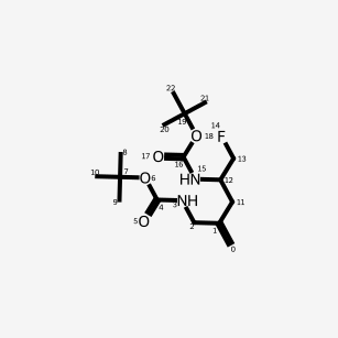 C=C(CNC(=O)OC(C)(C)C)CC(CF)NC(=O)OC(C)(C)C